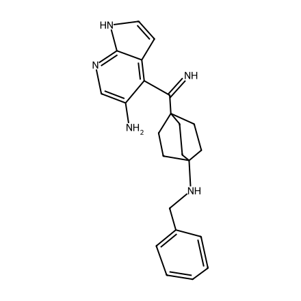 N=C(c1c(N)cnc2[nH]ccc12)C12CCC(NCc3ccccc3)(CC1)CC2